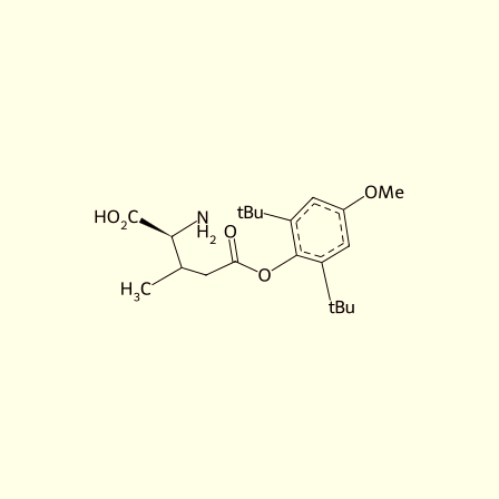 COc1cc(C(C)(C)C)c(OC(=O)CC(C)[C@H](N)C(=O)O)c(C(C)(C)C)c1